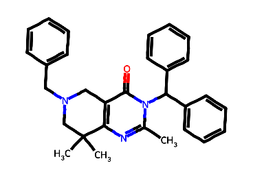 Cc1nc2c(c(=O)n1C(c1ccccc1)c1ccccc1)CN(Cc1ccccc1)CC2(C)C